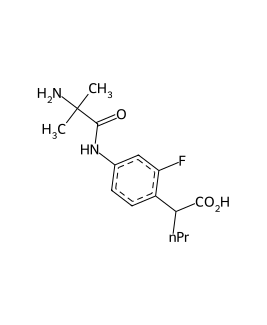 CCCC(C(=O)O)c1ccc(NC(=O)C(C)(C)N)cc1F